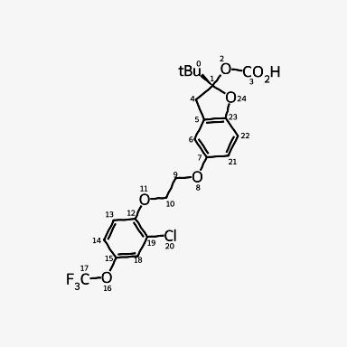 CC(C)(C)[C@]1(OC(=O)O)Cc2cc(OCCOc3ccc(OC(F)(F)F)cc3Cl)ccc2O1